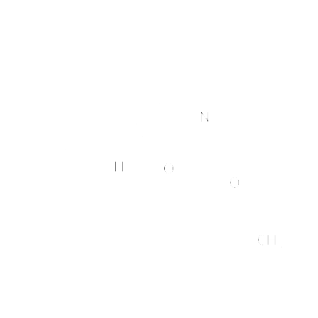 CCOC1=NC2Cc3ccccc3[C@@H]2O1